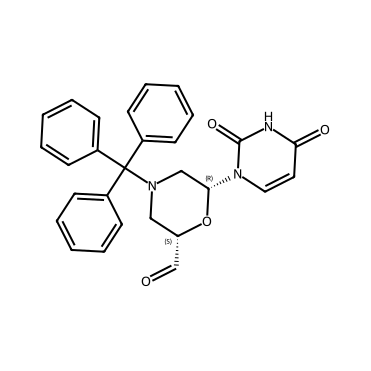 O=C[C@@H]1CN(C(c2ccccc2)(c2ccccc2)c2ccccc2)C[C@H](n2ccc(=O)[nH]c2=O)O1